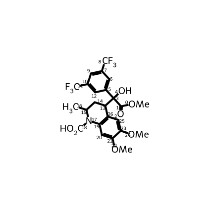 COC(=O)C(O)(c1cc(C(F)(F)F)cc(C(F)(F)F)c1)C1CC(C)N(C(=O)O)c2cc(OC)c(OC)cc21